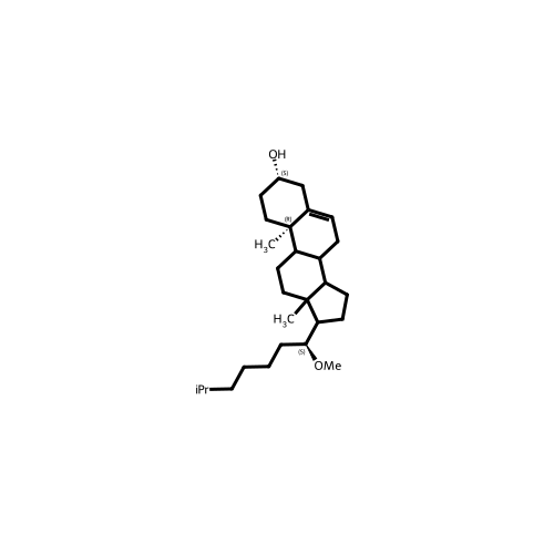 CO[C@@H](CCCCC(C)C)C1CCC2C3CC=C4C[C@@H](O)CC[C@]4(C)C3CCC21C